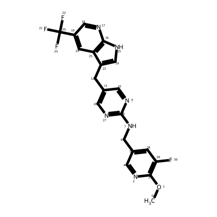 COc1ncc(CNc2ncc(Cc3c[nH]c4ncc(C(F)(F)F)cc34)cn2)cc1F